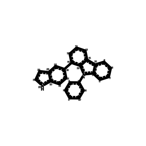 c1ccc(-n2c3ccccc3c3cccc(-c4ccc5[nH]ccc5c4)c32)cc1